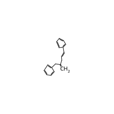 C=C(CC=Cc1ccccc1)Cc1ccccc1